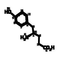 N[C@H](CCC(=O)O)Cc1ccc(O)cc1